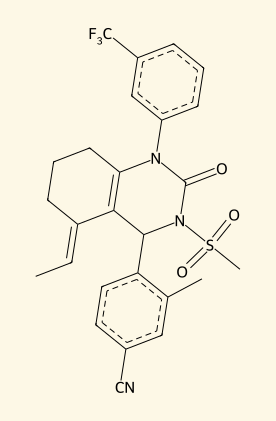 CC=C1CCCC2=C1C(c1ccc(C#N)cc1C)N(S(C)(=O)=O)C(=O)N2c1cccc(C(F)(F)F)c1